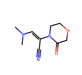 CN(C)C=C(C#N)N1CCOCC1=O